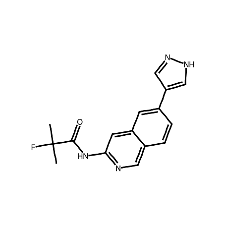 CC(C)(F)C(=O)Nc1cc2cc(-c3cn[nH]c3)ccc2cn1